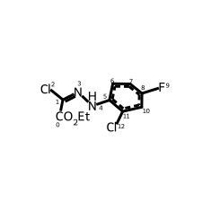 CCOC(=O)/C(Cl)=N\Nc1ccc(F)cc1Cl